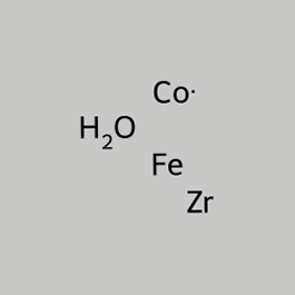 O.[Co].[Fe].[Zr]